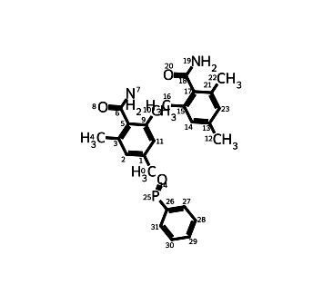 Cc1cc(C)c(C(N)=O)c(C)c1.Cc1cc(C)c(C(N)=O)c(C)c1.O=Pc1ccccc1